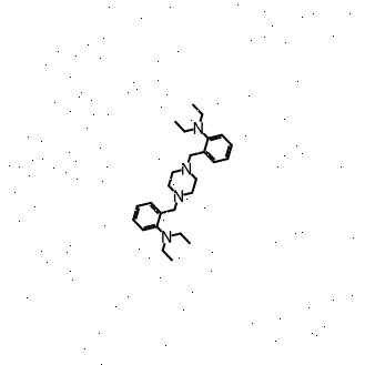 CCN(CC)c1ccccc1CN1CCN(Cc2ccccc2N(CC)CC)CC1